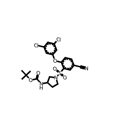 CC(C)(C)OC(=O)NC1CCN(S(=O)(=O)c2cc(C#N)ccc2Oc2cc(Cl)cc(Cl)c2)C1